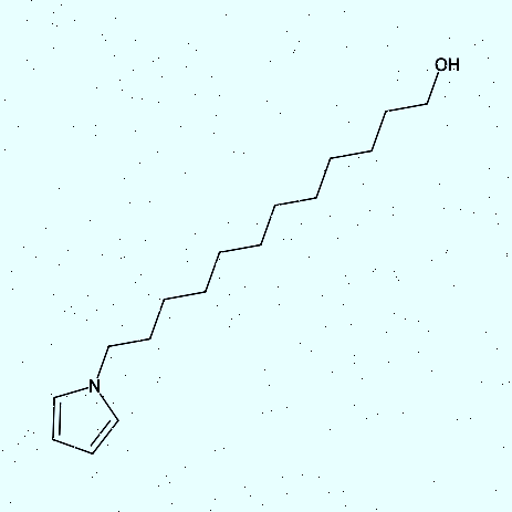 OCCCCCCCCCCCCn1cccc1